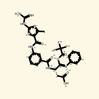 Cc1nc(NC(=N)N)sc1C(=O)Nc1cccc(C(=O)N[C@@H](CC(=O)O)C(=Nc2ccccc2)OC(=O)C(F)(F)F)c1